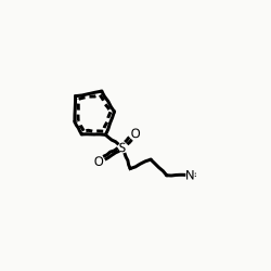 [N]CCCS(=O)(=O)c1ccccc1